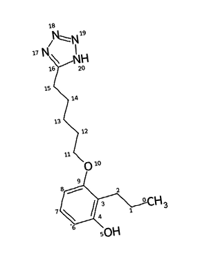 CCCc1c(O)[c]ccc1OCCCCCc1nnn[nH]1